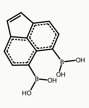 OB(O)c1ccc2c3c(ccc(B(O)O)c13)C=C2